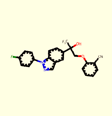 N#Cc1ccccc1OCC(O)(c1ccc2c(cnn2-c2ccc(F)cc2)c1)C(F)(F)F